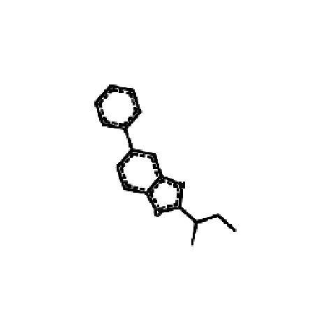 CCC(C)c1nc2cc(-c3ccccc3)ccc2o1